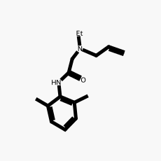 C=CCN(CC)CC(=O)Nc1c(C)cccc1C